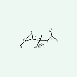 CCCC(C)(CC(C)F)C1CC1C